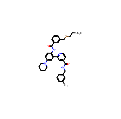 O=C(O)CCSCc1cccc(C(=O)Nc2ccc(N3CCCCC3)cc2-c2cc(C(=O)NCc3cccc(C(F)(F)F)c3)ccn2)c1